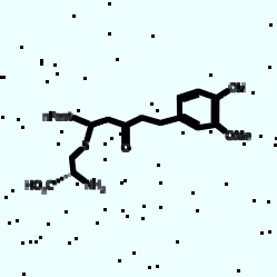 CCCCCC(CC(=O)CCc1ccc(O)c(OC)c1)SC[C@H](N)C(=O)O